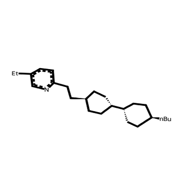 CCCC[C@H]1CC[C@H]([C@H]2CC[C@H](CCc3ccc(CC)cn3)CC2)CC1